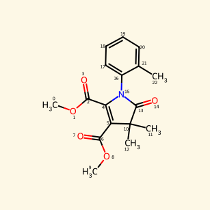 COC(=O)C1=C(C(=O)OC)C(C)(C)C(=O)N1c1ccccc1C